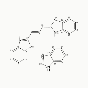 C(=Cc1nc2ccccc2s1)C=C1Nc2ccccc2S1.c1ccc2[nH]cnc2c1